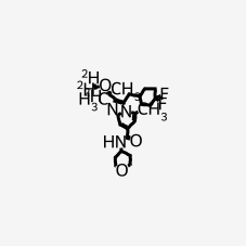 [2H]C([2H])([2H])OC(C)(C)c1nc2cc(C(=O)NC3CCOCC3)cc(C)n2c1CC1CCC(F)(F)CC1